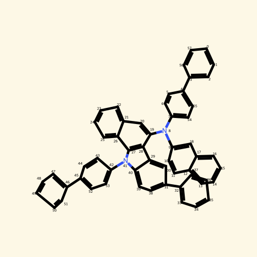 c1ccc(-c2ccc(N(c3ccc4ccccc4c3)c3cc4ccccc4c4c3c3cc(-c5ccccc5)ccc3n4-c3ccc(-c4ccccc4)cc3)cc2)cc1